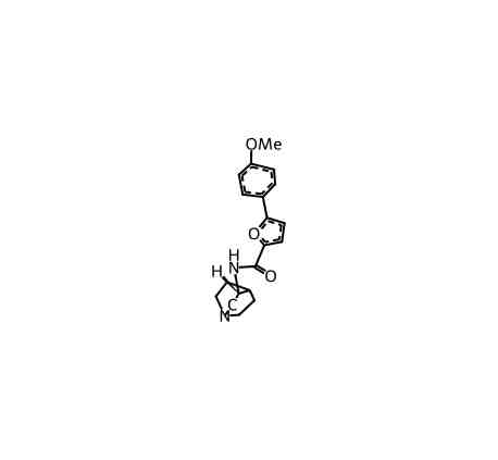 COc1ccc(-c2ccc(C(=O)N[C@H]3CN4CCC3CC4)o2)cc1